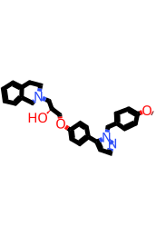 COc1ccc(Cn2nccc2-c2ccc(OC[C@H](O)CN3CCc4ccccc4C3)cc2)cc1